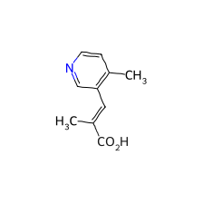 C/C(=C\c1cnccc1C)C(=O)O